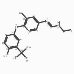 CCN/C=N/c1cnc(Oc2ccc(Cl)c(C(F)(F)F)c2)c(C)c1